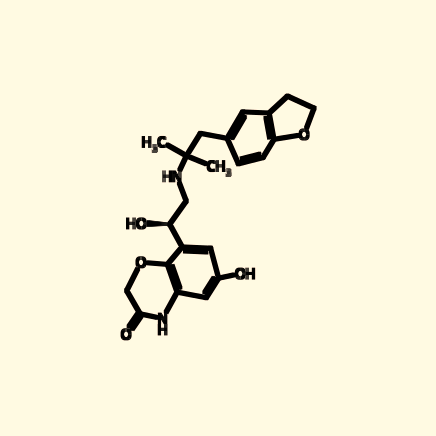 CC(C)(Cc1ccc2c(c1)CCO2)NC[C@H](O)c1cc(O)cc2c1OCC(=O)N2